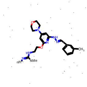 CCC/N=C(\NC)NCCOc1cc(N2CCOCC2)cc(N/N=C/c2cccc(C)c2)n1